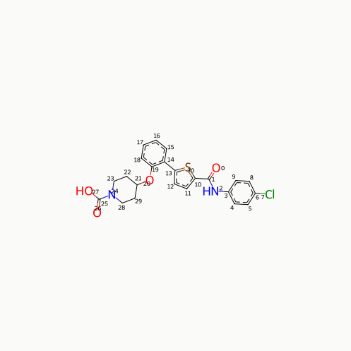 O=C(Nc1ccc(Cl)cc1)c1ccc(-c2ccccc2OC2CCN(C(=O)O)CC2)s1